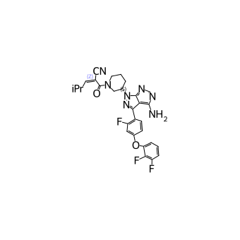 CC(C)/C=C(/C#N)C(=O)N1CCC[C@H](n2nc(-c3ccc(Oc4cccc(F)c4F)cc3F)c3c(N)ncnc32)C1